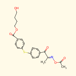 CC(=O)O/N=C(\C)C(=O)c1ccc(Sc2ccc(C(=O)OCCCCO)cc2)cc1